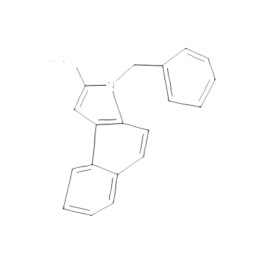 O=C(O)c1cc2c3ccccc3ccc2n1Cc1ccccc1